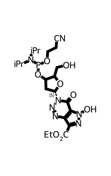 CCOC(=O)c1nn(O)c2c(=O)n([C@@H]3CC(OP(OCCC#N)N(C(C)C)C(C)C)C(CO)O3)nnc12